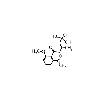 COc1cccc(OC)c1C(=O)C([O])C(C)CC(C)(C)C